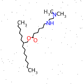 CCCCCCCCC(CCCCCC)COC(=O)CCCCCNCCN(C)C